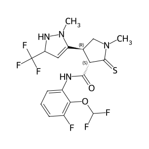 CN1C[C@H](C2=CC(C(F)(F)F)NN2C)[C@@H](C(=O)Nc2cccc(F)c2OC(F)F)C1=S